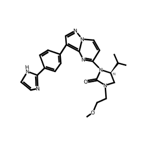 COCCN1C[C@H](C(C)C)N(c2ccn3ncc(-c4ccc(-c5ncc[nH]5)cc4)c3n2)C1=O